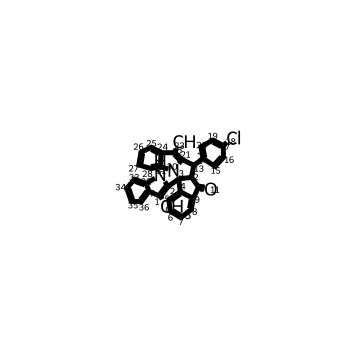 Cc1c(C23c4ccccc4C(=O)C2C(c2ccc(Cl)cc2)c2c(C)c4ccccc4n23)[nH]c2ccccc12